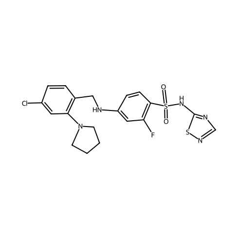 O=S(=O)(Nc1ncns1)c1ccc(NCc2ccc(Cl)cc2N2CCCC2)cc1F